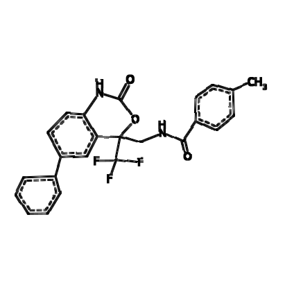 Cc1ccc(C(=O)NCC2(C(F)(F)F)OC(=O)Nc3ccc(-c4ccccc4)cc32)cc1